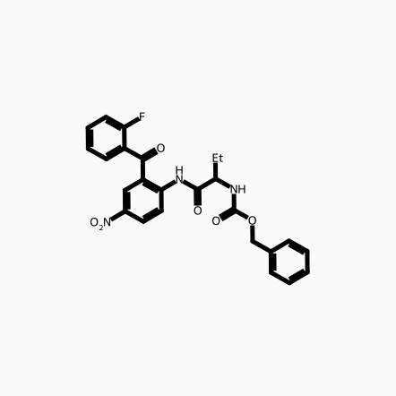 CCC(NC(=O)OCc1ccccc1)C(=O)Nc1ccc([N+](=O)[O-])cc1C(=O)c1ccccc1F